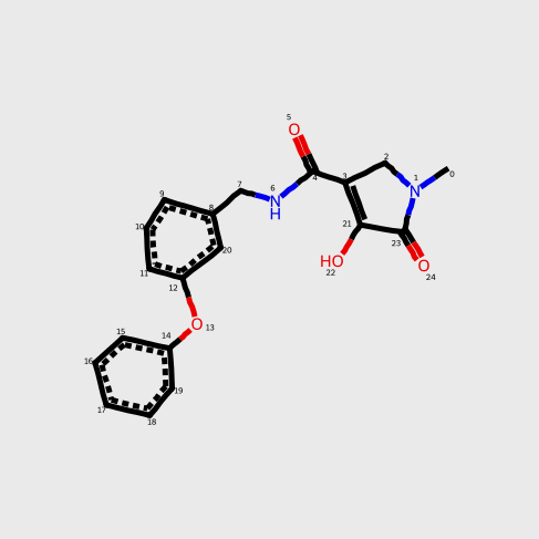 CN1CC(C(=O)NCc2cccc(Oc3ccccc3)c2)=C(O)C1=O